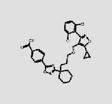 O=C(O)c1ccc(-c2nc(C3(CCCOCc4c(-c5c(Cl)cccc5Cl)noc4C4CC4)CCCCC3)no2)cc1